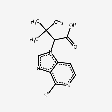 CC(C)(C)C(C(=O)O)n1cnc2c(Cl)nccc21